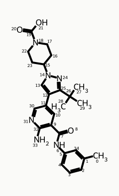 Cc1cccc(NC(=O)c2cc(-c3cn(C4CCN(C(=O)O)CC4)nc3C(C)(C)C)cnc2N)c1